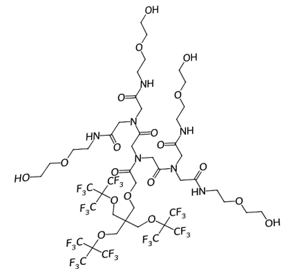 O=C(CN(CC(=O)NCCOCCO)C(=O)CN(CC(=O)N(CC(=O)NCCOCCO)CC(=O)NCCOCCO)C(=O)COCC(COC(C(F)(F)F)(C(F)(F)F)C(F)(F)F)(COC(C(F)(F)F)(C(F)(F)F)C(F)(F)F)COC(C(F)(F)F)(C(F)(F)F)C(F)(F)F)NCCOCCO